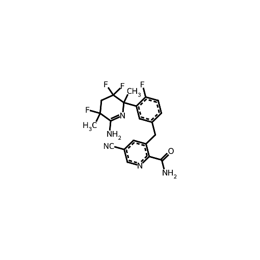 CC1(F)CC(F)(F)C(C)(c2cc(Cc3cc(C#N)cnc3C(N)=O)ccc2F)N=C1N